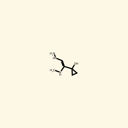 CN/C(=C\NN)C1(O)CC1